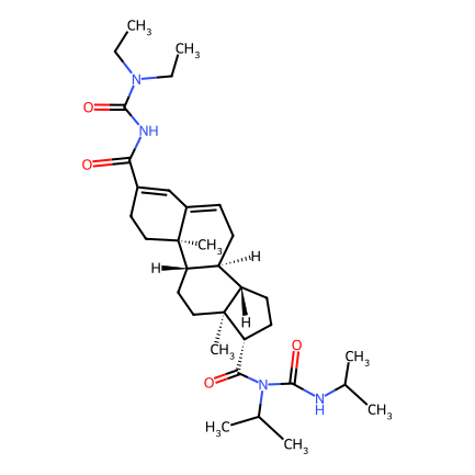 CCN(CC)C(=O)NC(=O)C1=CC2=CC[C@H]3[C@@H]4CC[C@H](C(=O)N(C(=O)NC(C)C)C(C)C)[C@@]4(C)CC[C@@H]3[C@@]2(C)CC1